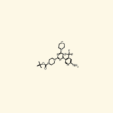 CC(C)(C)OC(=O)N1CCN(c2nc(-c3cnc(N)cc3C(F)(F)F)nc(N3CCOCC3)n2)CC1